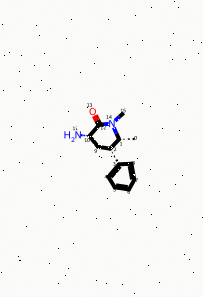 C[C@@H]1[C@H](c2ccccc2)C[C@H](N)C(=O)N1C